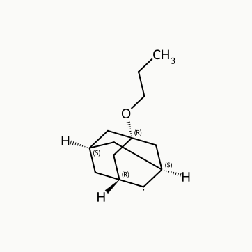 CCCO[C@]12C[C@@H]3[CH][C@@H](C[C@@H](C3)C1)C2